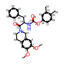 COc1cc2c(cc1OC)CN(C(=O)C(Cc1ccccc1)NC(=O)Oc1ccc(C)c(C)c1)CC2